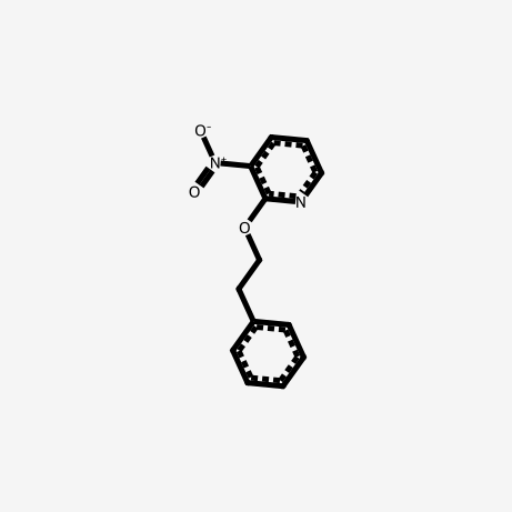 O=[N+]([O-])c1cccnc1OCCc1ccccc1